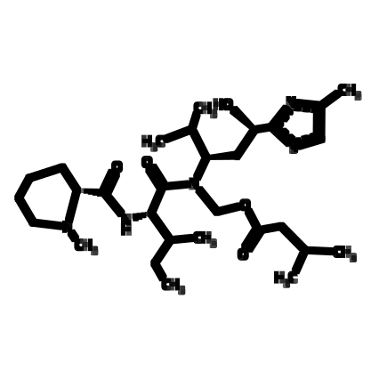 CCC(C)[C@H](NC(=O)[C@H]1CCCCN1C)C(=O)N(COC(=O)CC(C)C)[C@H](C[C@@H](O)c1nc(C)cs1)C(C)C